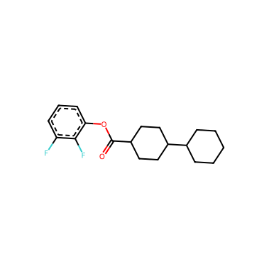 O=C(Oc1cccc(F)c1F)C1CCC(C2CCCCC2)CC1